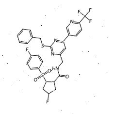 O=C(NCc1cc(-c2ccc(C(F)(F)F)nc2)nc(SCc2ccccc2)n1)C1CC(F)CC1S(=O)(=O)c1ccc(F)cc1